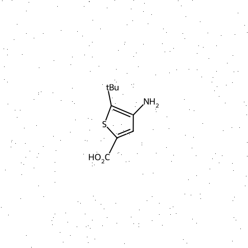 CC(C)(C)c1sc(C(=O)O)cc1N